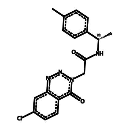 Cc1ccc([C@H](C)NC(=O)Cn2nnc3cc(Cl)ccc3c2=O)cc1